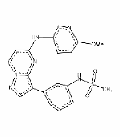 COc1ccc(Nc2ccn3ncc(-c4cccc(NS(C)(=O)=O)c4)c3n2)cn1